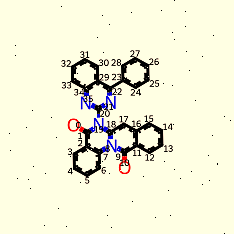 O=c1c2ccccc2n2c(=O)c3ccccc3cc2n1-c1nc(-c2ccccc2)c2ccccc2n1